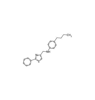 CCCCc1ccc(NCc2csc(-c3ccccc3)n2)cc1